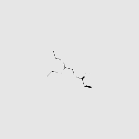 C=CC(=O)OC[C](OCC)OCC